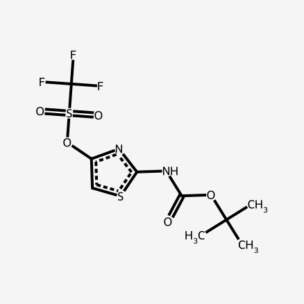 CC(C)(C)OC(=O)Nc1nc(OS(=O)(=O)C(F)(F)F)cs1